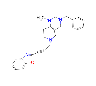 CN1CN(Cc2ccccc2)CC2=C1CCN(CC#Cc1nc3ccccc3o1)C2